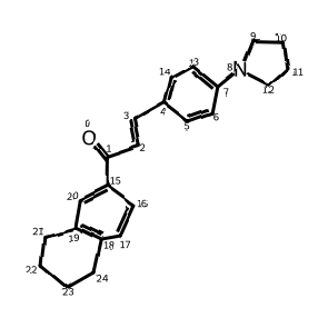 O=C(C=Cc1ccc(N2CCCC2)cc1)c1ccc2c(c1)CCCC2